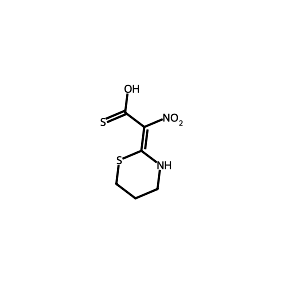 O=[N+]([O-])C(C(O)=S)=C1NCCCS1